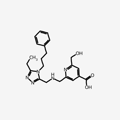 CCc1nnc(CNCc2cc(C(=O)O)cc(CO)n2)n1CCCc1ccccc1